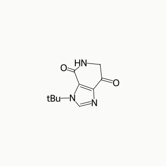 CC(C)(C)n1cnc2c1C(=O)NCC2=O